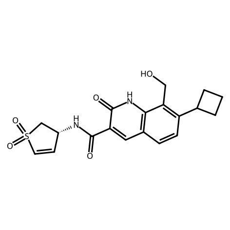 O=C(N[C@@H]1C=CS(=O)(=O)C1)c1cc2ccc(C3CCC3)c(CO)c2[nH]c1=O